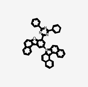 C1=CC2C=Cc3c(c4c5ccccc5ccc4n3-c3cc(-c4nc(C5=CCCC=C5)nc(-c5ccccc5)n4)c4oc5ccc6ccccc6c5c4c3)C2C=C1